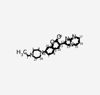 CCN1CCN(c2ccc3cc(-c4cn5cccnc5n4)c(=O)oc3c2)CC1